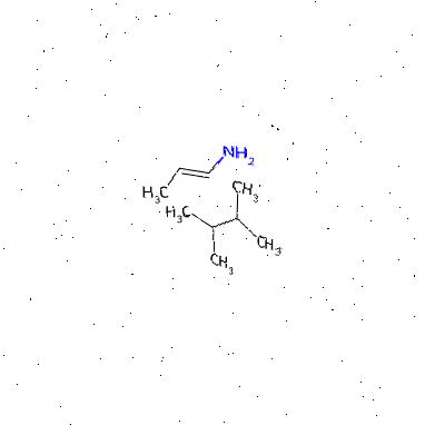 CC(C)C(C)C.CC=CN